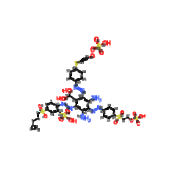 CCCCS(=O)(=O)c1ccc(N=Nc2c(N)c(N=Nc3ccc(S(=O)(=O)CCOS(=O)(=O)O)cc3)c(N)c(N=Nc3ccc(SC#COOS(=O)(=O)O)cc3)c2C(O)O)c(S(=O)(=O)O)c1